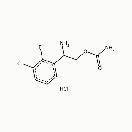 Cl.NC(=O)OCC(N)c1cccc(Cl)c1F